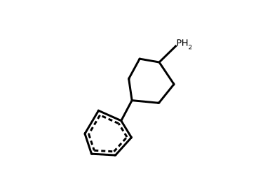 PC1CCC(c2ccccc2)CC1